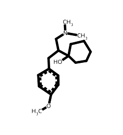 COc1ccc(CC(CN(C)C)C2(O)CCCCC2)cc1